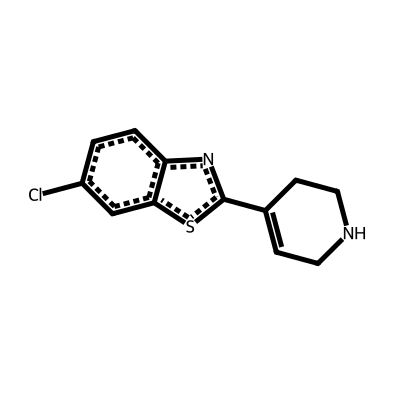 Clc1ccc2nc(C3=CCNCC3)sc2c1